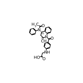 CC(=O)N(c1ccccc1)[C@H]1C[C@@H](C)N(C(=O)c2ccc(NCC(=O)O)cc2)c2ccccc21